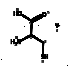 NC(CS)C(=O)O.[V]